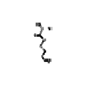 O=C(OCCCS(=O)(=O)O)N(S)S